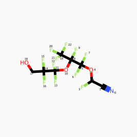 N#CC(F)OC(F)(F)C(F)(OC(F)(F)C(F)(F)CO)C(F)(F)F